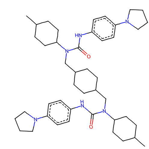 CC1CCC(N(CC2CCC(CN(C(=O)Nc3ccc(N4CCCC4)cc3)C3CCC(C)CC3)CC2)C(=O)Nc2ccc(N3CCCC3)cc2)CC1